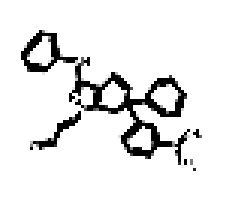 CN(C)c1cccc(C2(c3ccccc3)C=Cc3c(Nc4ccccc4)nn(C=CC=O)c3C2)c1